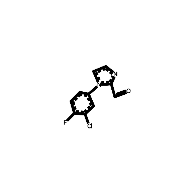 O=Cc1nccn1-c1ccc(F)c(Cl)c1